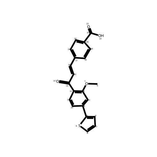 COc1cc(-c2cccs2)ccc1C(=O)C=Cc1ccc(C(=O)O)cc1